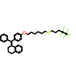 FC(F)(F)C(F)(F)CCCSCCCCCCOc1ccc(C(=C2CCCc3ccccc32)c2ccccc2)cc1